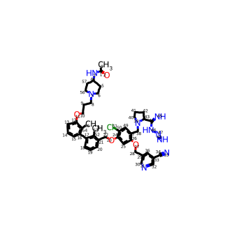 CC(=O)NC1CCN(CCCOc2cccc(-c3cccc(COc4cc(OCc5cncc(C#N)c5)c(CN5CCCC5C(=N)NN=N)cc4Cl)c3C)c2C)CC1